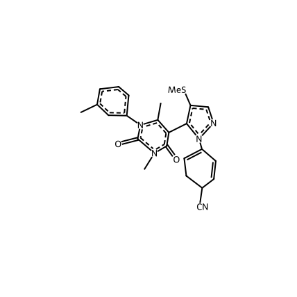 CSc1cnn(C2=CCC(C#N)C=C2)c1-c1c(C)n(-c2cccc(C)c2)c(=O)n(C)c1=O